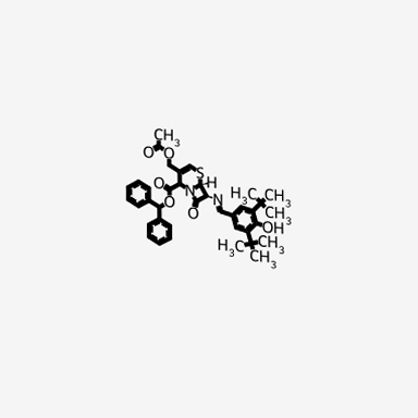 CC(=O)OCC1=CS[C@H]2[C@H](N=Cc3cc(C(C)(C)C)c(O)c(C(C)(C)C)c3)C(=O)N2C1C(=O)OC(c1ccccc1)c1ccccc1